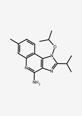 Cc1ccc2c(c1)nc(N)c1nc(C(C)C)n(OC(C)C)c12